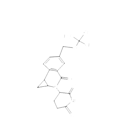 CC(C)(C)OCc1ccc2c(c1)C(=O)N(C1CCC(=O)NC1=O)C1CC21